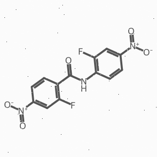 O=C(Nc1ccc([N+](=O)[O-])cc1F)c1ccc([N+](=O)[O-])cc1F